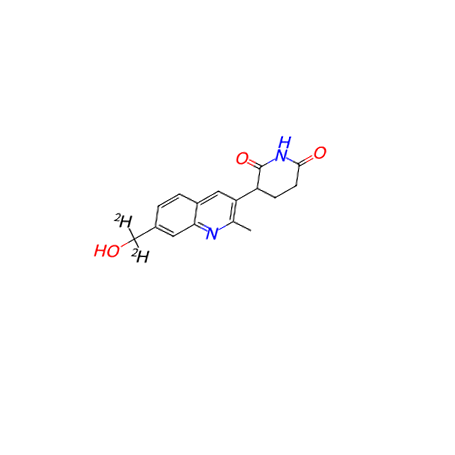 [2H]C([2H])(O)c1ccc2cc(C3CCC(=O)NC3=O)c(C)nc2c1